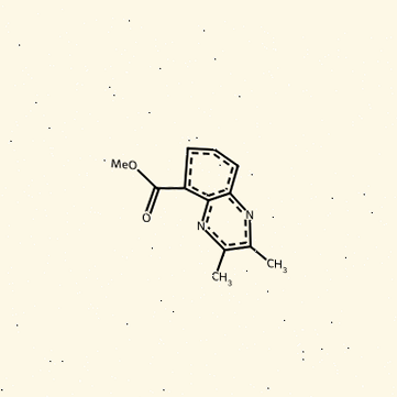 COC(=O)c1cccc2nc(C)c(C)nc12